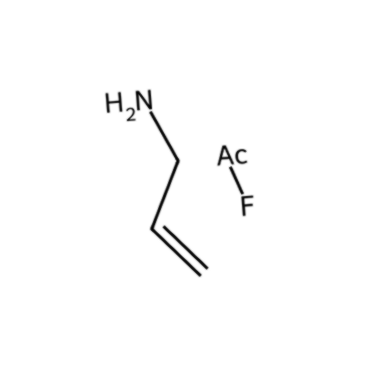 C=CCN.CC(=O)F